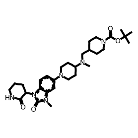 CN(CC1CCN(C(=O)OC(C)(C)C)CC1)C1CCN(c2ccc3c(c2)n(C)c(=O)n3C2CCCNC2=O)CC1